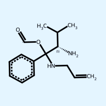 C=CCNC(O[C]=O)(c1ccccc1)[C@@H](N)C(C)C